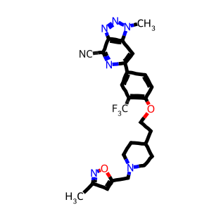 Cc1cc(CN2CCC(CCOc3ccc(-c4cc5c(nnn5C)c(C#N)n4)cc3C(F)(F)F)CC2)on1